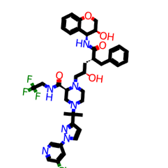 CC(C)(c1ccn(-c2cncc(Cl)c2)n1)N1CCN(C[C@@H](O)C[C@@H](Cc2ccccc2)C(=O)N[C@H]2c3ccccc3OC[C@H]2O)[C@H](C(=O)NCC(F)(F)F)C1